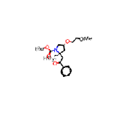 COCCO[C@H]1CN(C(=O)OC(C)(C)C)[C@@](CC(=O)c2ccccc2)(C(=O)O)C1